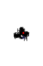 O=C1N[C@]2(C(=O)NS(=O)(=O)C3CC3)C[C@H]2/C=C\CCCCC[C@H](Nc2ccc(F)c(C(F)(F)F)c2)C(=O)N2C[C@H](OC3=NC=CC4C=CC=CC34)C[C@@H]12